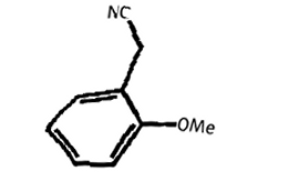 COc1ccccc1CC#N